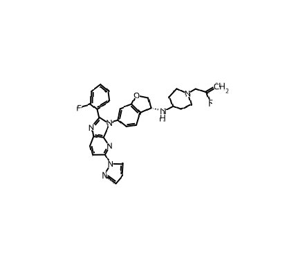 C=C(F)CN1CCC(N[C@H]2COc3cc(-n4c(-c5ccccc5F)nc5ccc(-n6cccn6)nc54)ccc32)CC1